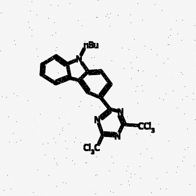 CCCCn1c2ccccc2c2cc(-c3nc(C(Cl)(Cl)Cl)nc(C(Cl)(Cl)Cl)n3)ccc21